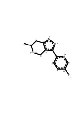 C[C@H]1Cc2noc(-c3ccc(F)cn3)c2CN1